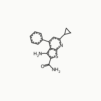 NC(=O)c1sc2nc(C3CC3)cc(-c3ccccc3)c2c1N